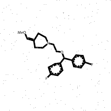 COC=C1CCN(CCOC(c2ccc(F)cc2)c2ccc(F)cc2)CC1